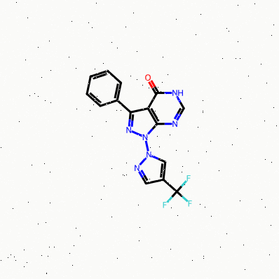 O=c1[nH]cnc2c1c(-c1ccccc1)nn2-n1cc(C(F)(F)F)cn1